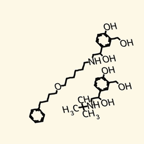 CC(C)(C)NCC(O)c1ccc(O)c(CO)c1.OCc1cc(C(O)CNCCCCCCOCCCCc2ccccc2)ccc1O